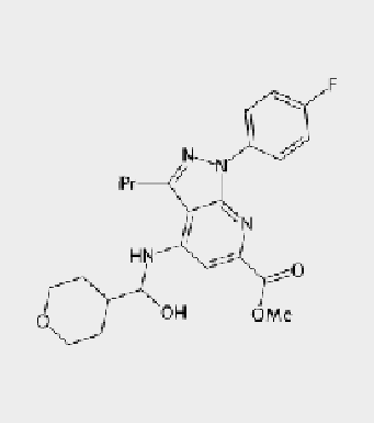 COC(=O)c1cc(NC(O)C2CCOCC2)c2c(C(C)C)nn(-c3ccc(F)cc3)c2n1